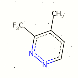 [CH2]c1ccnnc1C(F)(F)F